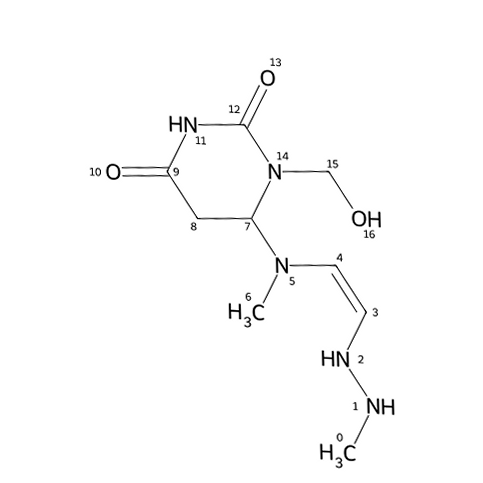 CNN/C=C\N(C)C1CC(=O)NC(=O)N1CO